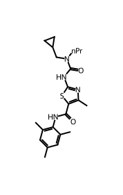 CCCN(CC1CC1)C(=O)Nc1nc(C)c(C(=O)Nc2c(C)cc(C)cc2C)s1